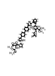 COC(=O)NC(C(=O)N1CCC[C@H]1c1ncc(-c2ccc(-c3ccc(-c4cnc([C@@H]5C6CCC(C6)[C@H]5C(=O)NC(C(=O)NCC(F)F)C(C)C)[nH]4)cc3)cc2)[nH]1)C(C)C